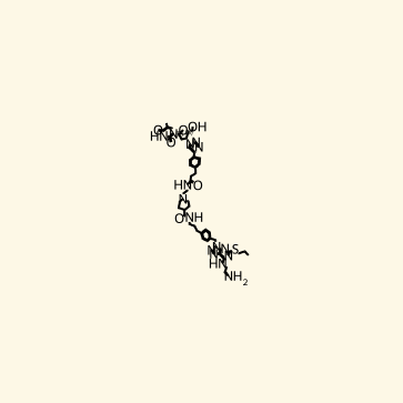 CCCSc1nc(NCCN)c2nnn(Cc3ccc(CCCNC(=O)C4CCN(CCNC(=O)CCc5ccc(-c6cn(C7C[C@H](n8cc(C)c(=O)[nH]c8=O)O[C@@H]7CO)nn6)cc5)CC4)cc3)c2n1